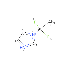 FC(F)(F)C(F)(F)[n+]1cc[nH]c1